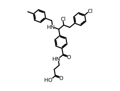 Cc1ccc(CNC(c2ccc(C(=O)NCCC(=O)O)cc2)C(Cl)Cc2ccc(Cl)cc2)cc1